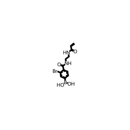 C=CC(=O)NCCNC(=O)c1ccc(B(O)O)cc1Br